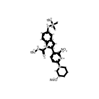 CO[C@H]1CCCN(c2ccc(-c3cc4cc(O[Si](C)(C)C(C)(C)C)ccc4n3C(=O)OC(C)(C)C)c([N+](=O)[O-])n2)C1